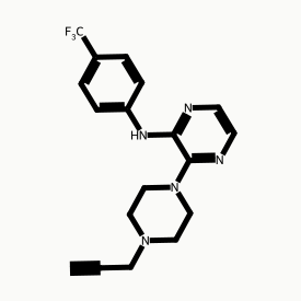 C#CCN1CCN(c2nccnc2Nc2ccc(C(F)(F)F)cc2)CC1